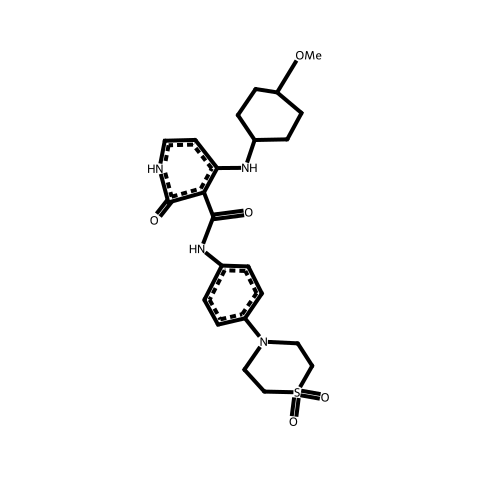 COC1CCC(Nc2cc[nH]c(=O)c2C(=O)Nc2ccc(N3CCS(=O)(=O)CC3)cc2)CC1